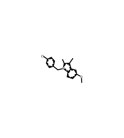 COc1ccc2c(c1)c(C)c(C)n2Cc1ccc(Cl)cc1